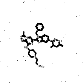 C=C1CC(C)C(c2ccc3c(c2)nc(-c2cn4c(C)nnc4c(NC4CCN(CCOC)CC4)n2)n3Cc2ccccc2)=NN1